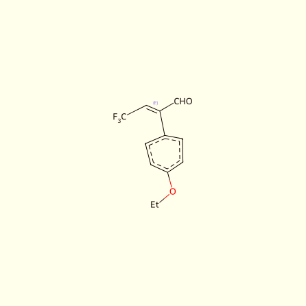 CCOc1ccc(/C(C=O)=C\C(F)(F)F)cc1